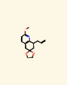 C=CCC1CC2(Cc3ccc(OC)nc31)OCCO2